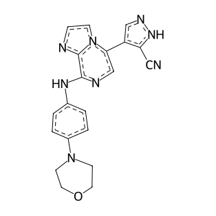 N#Cc1[nH]ncc1-c1cnc(Nc2ccc(N3CCOCC3)cc2)c2nccn12